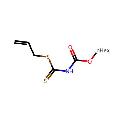 C=CCSC(=S)NC(=O)OCCCCCC